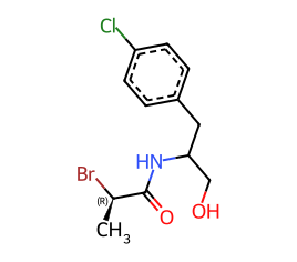 C[C@@H](Br)C(=O)NC(CO)Cc1ccc(Cl)cc1